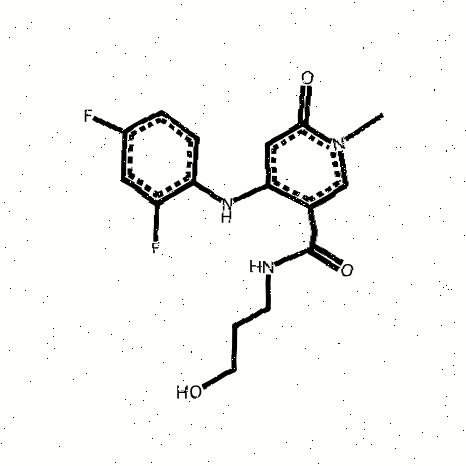 Cn1cc(C(=O)NCCCO)c(Nc2ccc(F)cc2F)cc1=O